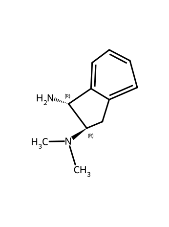 CN(C)[C@@H]1Cc2ccccc2[C@H]1N